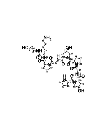 NCCCC[C@H](NC(=O)[C@@H]1CCCN1C(=O)CNC(=O)[C@@H]1C[C@@H](O)CN1C(=O)[C@@H]1CCCN1C(=O)CNC(=O)[C@@H]1C[C@@H](O)CN1C(=O)[C@@H]1CCCN1)C(=O)NCC(=O)O